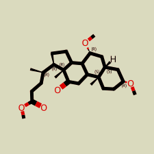 COC(=O)CC[C@@H](C)[C@H]1CCC2C3C(CC(=O)[C@@]21C)[C@@]1(C)CC[C@@H](OC)C[C@H]1C[C@H]3OC